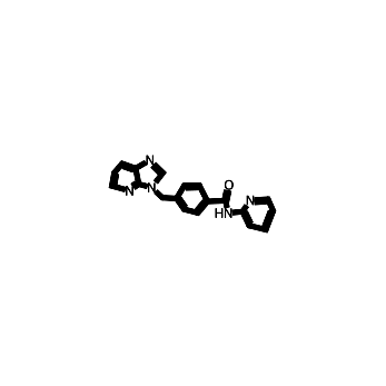 O=C(Nc1ccccn1)c1ccc(Cn2cnc3cccnc32)cc1